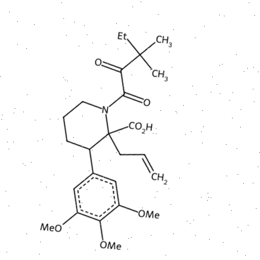 C=CCC1(C(=O)O)C(c2cc(OC)c(OC)c(OC)c2)CCCN1C(=O)C(=O)C(C)(C)CC